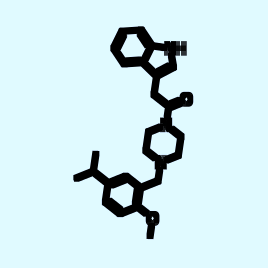 COc1ccc(C(C)C)cc1CN1CCN(C(=O)Cc2c[nH]c3ccccc23)CC1